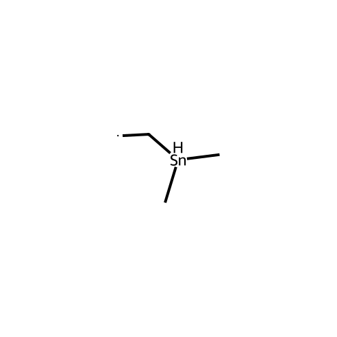 [CH2][CH2][SnH]([CH3])[CH3]